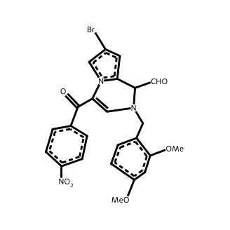 COc1ccc(CN2C=C(C(=O)c3ccc([N+](=O)[O-])cc3)n3cc(Br)cc3C2C=O)c(OC)c1